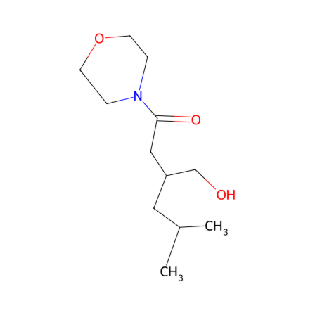 CC(C)CC(CO)CC(=O)N1CCOCC1